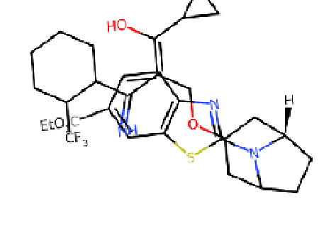 CCOC(=O)c1ccc2nc(N3C4CC[C@H]3CC(OC/C(C(=N)C3CCCCC3C(F)(F)F)=C(/O)C3CC3)C4)sc2c1